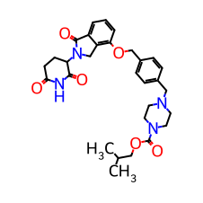 CC(C)COC(=O)N1CCN(Cc2ccc(COc3cccc4c3CN(C3CCC(=O)NC3=O)C4=O)cc2)CC1